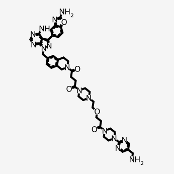 NCc1cnc(N2CCN(C(=O)CCOCCN3CCN(C(=O)CCC(=O)N4CCc5cc(Cn6nc(-c7ccc8oc(N)nc8c7)c7c(N)ncnc76)ccc5C4)CC3)CC2)nc1